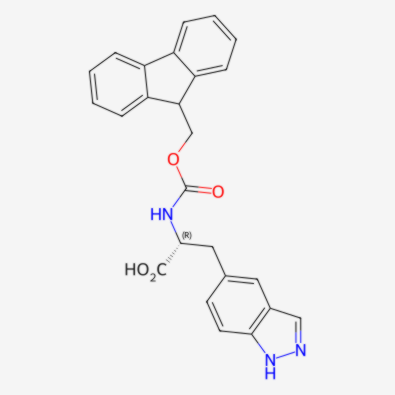 O=C(N[C@H](Cc1ccc2[nH]ncc2c1)C(=O)O)OCC1c2ccccc2-c2ccccc21